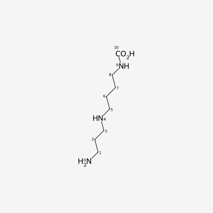 NCCCNCCCCNC(=O)O